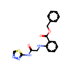 O=C(CNc1ccccc1C(=O)OCc1ccccc1)Nc1nncs1